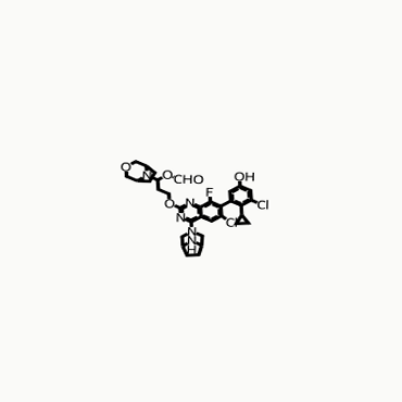 O=COC(CCOc1nc(N2CC3CCC(C2)N3)c2cc(Cl)c(-c3cc(O)cc(Cl)c3C3CC3)c(F)c2n1)N1C2CCC1COC2